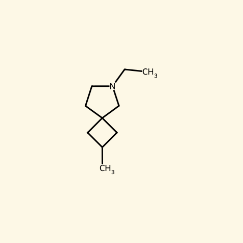 CCN1CCC2(CC(C)C2)C1